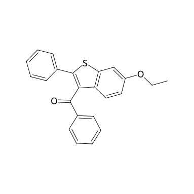 CCOc1ccc2c(C(=O)c3ccccc3)c(-c3ccccc3)sc2c1